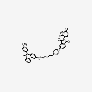 C/C(=C(\c1ccc(O)cc1)c1ccc(OCCCCCCN2CCN(c3ccc4c(c3)C(=O)N(C3CCC(=O)NC3=O)C4=O)CC2)cc1)c1ccccc1